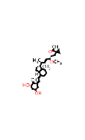 C=C1/C(=C\C=C2/CCC[C@]3(C)[C@@H]([C@H](C)/C=C/[C@@H](CCC4(C(C)=O)CC4)OC)CC[C@@H]23)C[C@@H](O)C[C@@H]1O